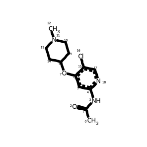 CC(=O)Nc1cc(OC2CCN(C)CC2)c(Cl)cn1